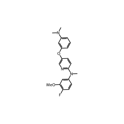 COc1cc(N(C)c2ccc(Oc3cccc(N(C)C)c3)cn2)ccc1F